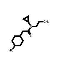 CCCN(C(=O)CC1CCC(O)CC1)C1CC1